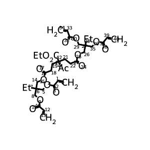 C=CC(=O)OCC(CC)(COC(=O)C=C)COC(=O)CCC(CCC(=O)OCC(CC)(COC(=O)C=C)COC(=O)C=C)(C(C)=O)C(=O)OCC